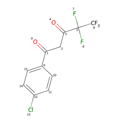 O=C(CC(=O)C(F)(F)C(F)(F)F)c1ccc(Cl)cc1